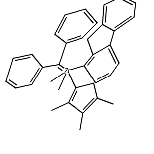 CC1=C(C)C(C)=[C]([Zr]([CH3])([CH3])(=[C](c2ccccc2)c2ccccc2)[c]2cccc3c2Cc2ccccc2-3)C1